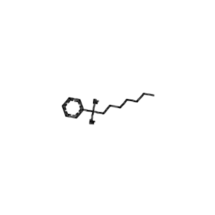 CCCCCCCC(Br)(Br)c1ccccc1